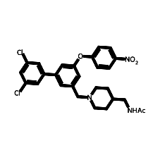 CC(=O)NCC1CCN(Cc2cc(Oc3ccc([N+](=O)[O-])cc3)cc(-c3cc(Cl)cc(Cl)c3)c2)CC1